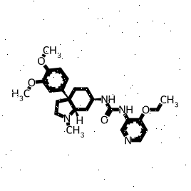 CCOc1ccncc1NC(=O)N[C@@H]1CC[C@@]2(c3ccc(OC)c(OC)c3)CCN(C)[C@H]2C1